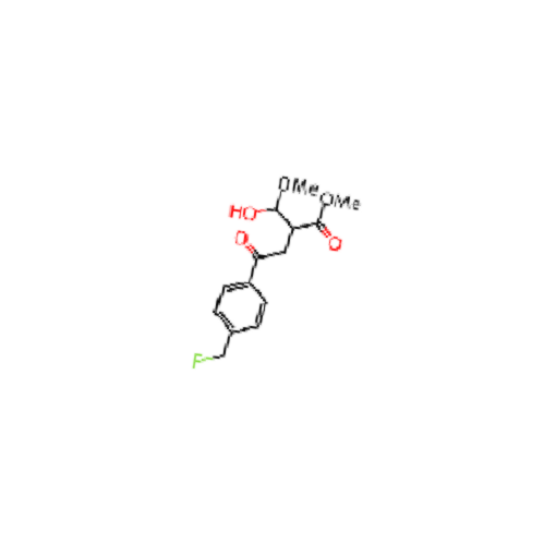 COC(=O)C(CC(=O)c1ccc(CF)cc1)C(O)OC